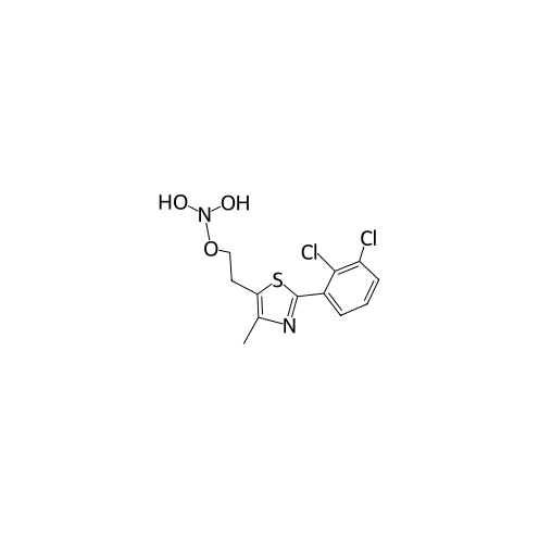 Cc1nc(-c2cccc(Cl)c2Cl)sc1CCON(O)O